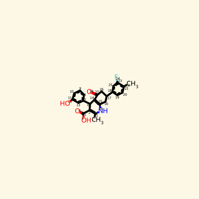 CC1=C(C(=O)O)C(c2cccc(O)c2)C2=C(CC(c3ccc(C)c(F)c3)CC2=O)N1